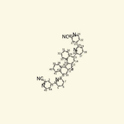 N#Cc1cc(-c2cccc(-c3cc4sc5cc(-c6cccc(-c7ccnc(C#N)c7)n6)c6ccccc6c5c4c4ccccc34)n2)ccn1